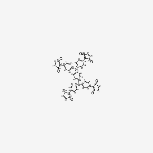 O=C1C=CC(=O)N1c1ccc(C(c2ccc(C(c3ccc(N4C(=O)C=CC4=O)cc3)c3ccc(N4C(=O)C=CC4=O)cc3)cc2)c2ccc(N3C(=O)C=CC3=O)cc2)cc1